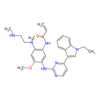 C=CC(=O)Nc1cc(Nc2nccc(-c3cn(CC)c4ccccc34)n2)c(OC)cc1N(C)CCNC